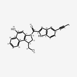 CC#Cc1ccc2[nH]c(C(=O)N3CC(CCl)c4c3cc(O)c3ccccc43)cc2c1